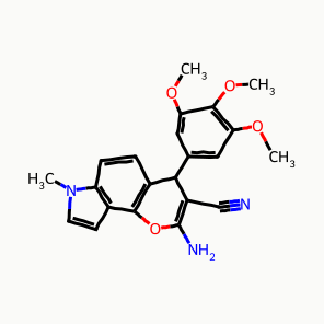 COc1cc(C2C(C#N)=C(N)Oc3c2ccc2c3ccn2C)cc(OC)c1OC